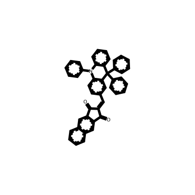 O=C1C(=Cc2ccc3c(c2)C(c2ccccc2)(c2ccccc2)c2ccccc2N3c2ccccc2)C(=O)c2cc3ccccc3cc21